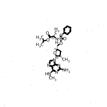 CNc1nc(N)nc2c1ncn2[C@@H]1O[C@H](CO[P@@](=O)(N[C@@H](C)C(=O)OC(C)C)Oc2ccccc2)C[C@@H]1C